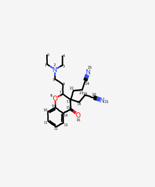 CCN(CC)CCC1Oc2ccccc2C(=O)C1(CCC#N)CCC#N